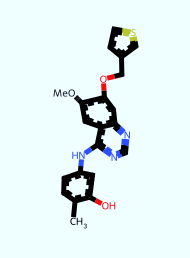 COc1cc2c(Nc3ccc(C)c(O)c3)ncnc2cc1OCc1ccsc1